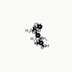 Cc1cc(OCc2c(C(C)C)cnn2-c2c(Cl)cccc2Cl)ccc1N(C)Cc1ccc(C(=O)O)cc1C(F)(F)F